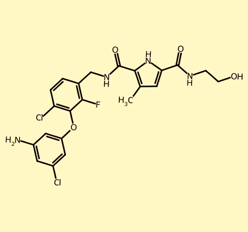 Cc1cc(C(=O)NCCO)[nH]c1C(=O)NCc1ccc(Cl)c(Oc2cc(N)cc(Cl)c2)c1F